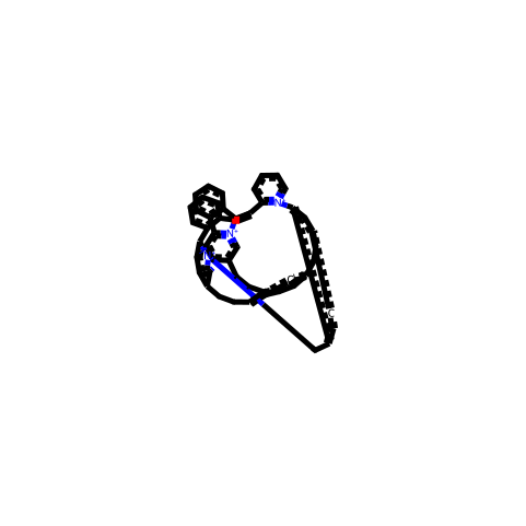 c1ccc2c(c1)C/C1=C3/c4ccccc4-c4ccc(c[n+]43)CCc3ccc4cc3CCc3ccc-2[n+](c3)Cc2ccc(cc2-[n+]2ccccc21)CC4